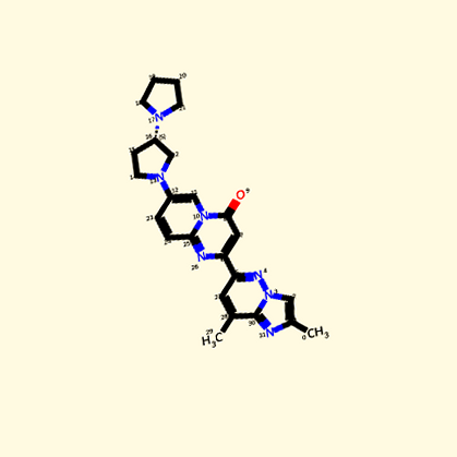 Cc1cn2nc(-c3cc(=O)n4cc(N5CC[C@H](N6CCCC6)C5)ccc4n3)cc(C)c2n1